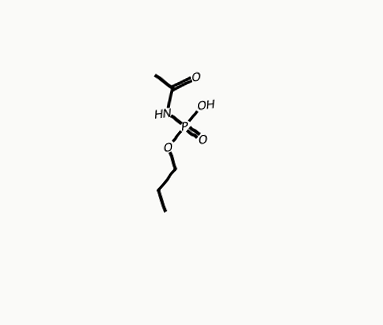 CCCOP(=O)(O)NC(C)=O